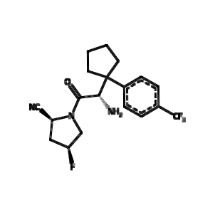 N#C[C@@H]1C[C@H](F)CN1C(=O)[C@@H](N)C1(c2ccc(C(F)(F)F)cc2)CCCC1